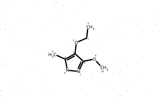 CCOC1=C(C)[N]N=C1OC